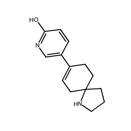 Oc1ccc(C2=CCC3(CCCN3)CC2)cn1